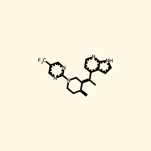 C=C1CCN(c2ncc(C(F)(F)F)cn2)C/C1=C(/C)c1ccnc2[nH]ccc12